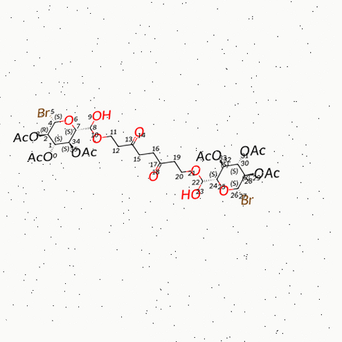 CC(=O)O[C@@H]1[C@@H](OC(C)=O)[C@H](Br)O[C@H](C(O)OCCC(=O)CCC(=O)CCOC(O)[C@H]2O[C@@H](Br)[C@H](OC(C)=O)[C@@H](OC(C)=O)[C@@H]2OC(C)=O)[C@H]1OC(C)=O